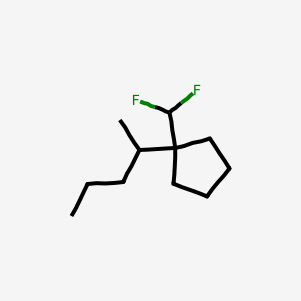 CCCC(C)C1(C(F)F)CCCC1